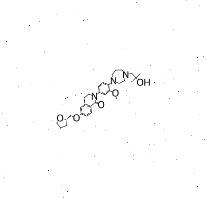 COc1cc(N2CCc3cc(OC[C@H]4CCCO4)ccc3C2=O)ccc1N1CCCN(CC(C)(C)O)CC1